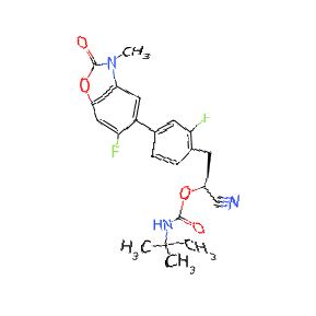 Cn1c(=O)oc2cc(F)c(-c3ccc(C[C@@H](C#N)OC(=O)NC(C)(C)C)c(F)c3)cc21